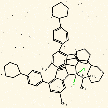 Cc1cc(-c2ccc(C3CCCCC3)cc2)c2c(c1)[CH]([Zr]([Cl])([Cl])([CH]1C(CC3CCCCC3)=Cc3c(-c4ccc(C5CCCCC5)cc4)cc(C)cc31)[SiH](C)C)C(CC1CCCCC1)=C2